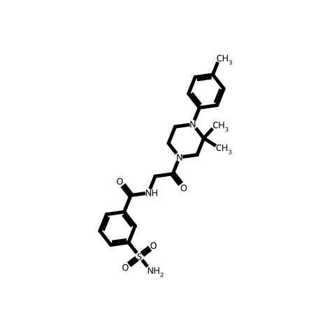 Cc1ccc(N2CCN(C(=O)CNC(=O)c3cccc(S(N)(=O)=O)c3)CC2(C)C)cc1